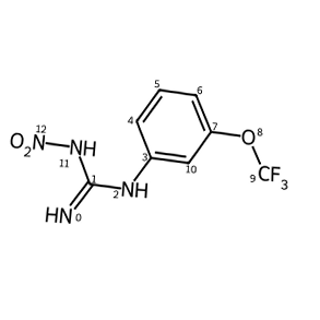 N=C(Nc1cccc(OC(F)(F)F)c1)N[N+](=O)[O-]